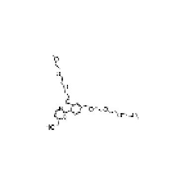 COCCOCCOCCOCc1ccc(-c2nccc(CO)n2)c(OCCOCCOCCOC)c1